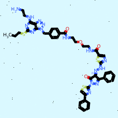 CCCSc1nc(NCCN)c2nnn(Cc3ccc(C(=O)NCCOCCNC(=O)c4cnc(N/N=C5/C(=O)N(c6nc(-c7ccccc7)cs6)N=C5c5ccccc5)s4)cc3)c2n1